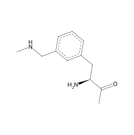 CNCc1cccc(C[C@H](N)C(C)=O)c1